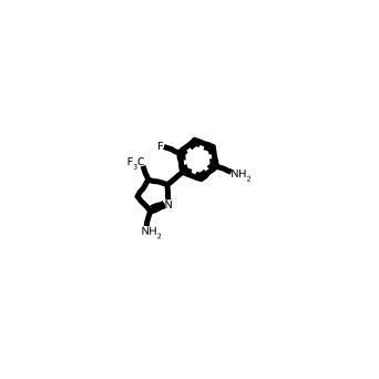 NC1=NC(c2cc(N)ccc2F)C(C(F)(F)F)C1